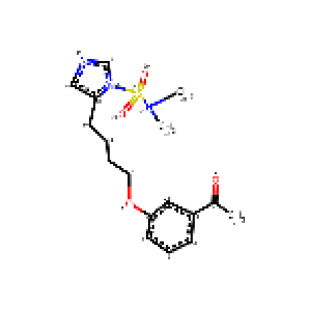 CC(=O)c1cccc(OCCCCc2cncn2S(=O)(=O)N(C)C)c1